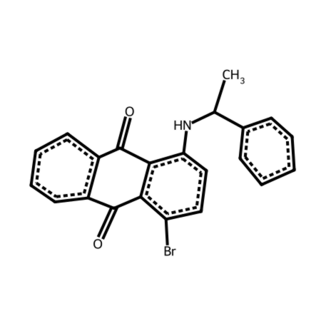 CC(Nc1ccc(Br)c2c1C(=O)c1ccccc1C2=O)c1ccccc1